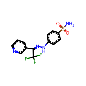 NS(=O)(=O)c1ccc(N/N=C(/c2cccnc2)C(F)(F)F)cc1